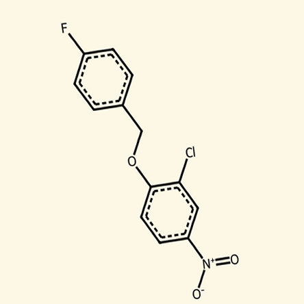 O=[N+]([O-])c1ccc(OCc2ccc(F)cc2)c(Cl)c1